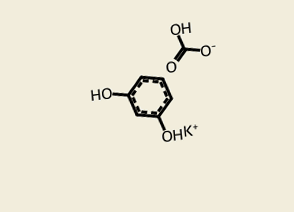 O=C([O-])O.Oc1cccc(O)c1.[K+]